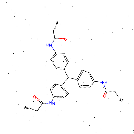 CC(=O)CC(=O)Nc1ccc(C(c2ccc(NC(=O)CC(C)=O)cc2)c2ccc(NC(=O)CC(C)=O)cc2)cc1